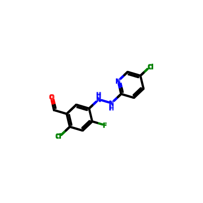 O=Cc1cc(NNc2ccc(Cl)cn2)c(F)cc1Cl